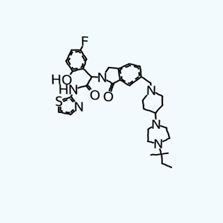 CCC(C)(C)N1CCN(C2CCN(Cc3ccc4c(c3)C(=O)N(C(C(=O)Nc3nccs3)c3cc(F)ccc3O)C4)CC2)CC1